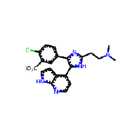 CN(C)CCc1nc(-c2ccc(Cl)c(C(=O)O)c2)c(-c2ccnc3[nH]ccc23)[nH]1